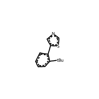 CC(C)(C)c1ccccc1-c1cncs1